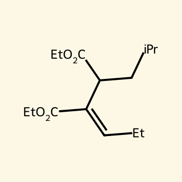 CCC=C(C(=O)OCC)C(CC(C)C)C(=O)OCC